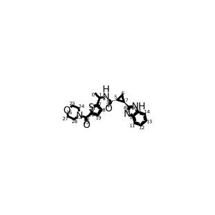 CC(NC(=O)[C@@H]1C[C@H]1c1nc2ccccc2[nH]1)c1ccc(C(=O)N2CCOCC2)s1